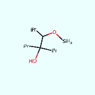 CC(C)C(O[SiH3])C(O)(C(C)C)C(C)C